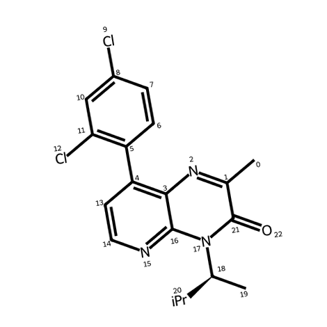 Cc1nc2c(-c3ccc(Cl)cc3Cl)ccnc2n([C@@H](C)C(C)C)c1=O